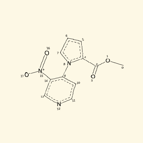 COC(=O)c1cccn1-c1ccncc1[N+](=O)[O-]